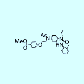 C=CCN(C(=O)Nc1ccccc1C)c1ccc(N(CCOc2ccc(C(=O)OC)cc2)C(C)=O)cc1C